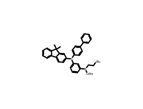 COB(CCC(C)(C)C)c1cccc(N(c2ccc(-c3ccccc3)cc2)c2ccc3c(c2)C(C)(C)c2ccccc2-3)c1